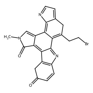 CN1C=c2c(c3c(c4c2=C2N=CC=C2CC=4CCBr)=NC2=C3CC(=O)C=C2)C1=O